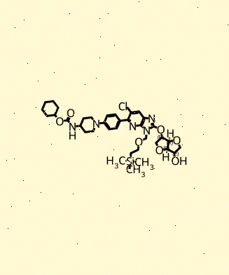 C[Si](C)(C)CCOCn1c(O[C@@H]2CO[C@H]3[C@@H]2OC[C@H]3O)nc2cc(Cl)c(-c3ccc(N4CCC(NC(=O)OC5CCCCC5)CC4)cc3)nc21